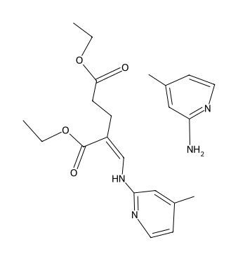 CCOC(=O)CCC(=CNc1cc(C)ccn1)C(=O)OCC.Cc1ccnc(N)c1